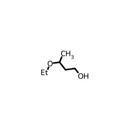 CCOC(C)CCO